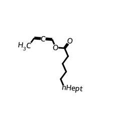 CC=C=COC(=O)CCCCCCCCCCC